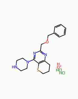 Cl.Cl.O.c1ccc(COCc2nc3c(c(N4CCNCC4)n2)SCCC3)cc1